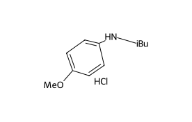 CCC(C)Nc1ccc(OC)cc1.Cl